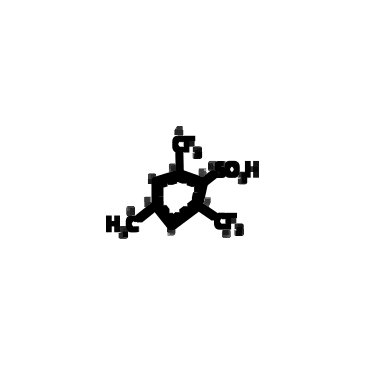 Cc1cc(C(F)(F)F)c(S(=O)(=O)O)c(C(F)(F)F)c1